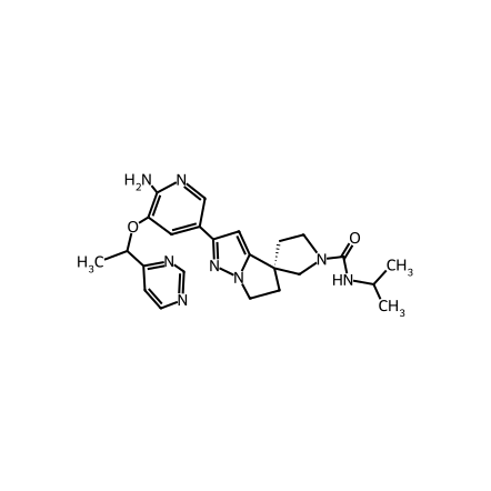 CC(C)NC(=O)N1CC[C@@]2(CCn3nc(-c4cnc(N)c(OC(C)c5ccncn5)c4)cc32)C1